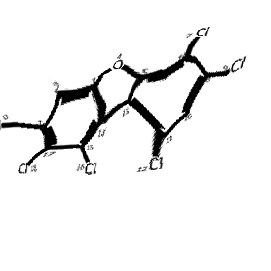 Clc1cc2oc3c(Cl)c(Cl)cc(Cl)c3c2c(Cl)c1Cl